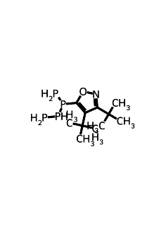 CC(C)(C)c1noc(P(P)PP)c1C(C)(C)C